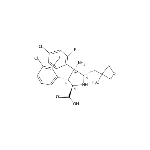 CC1(C[C@@H]2N[C@@H](C(=O)O)[C@H](c3cccc(Cl)c3F)[C@@]2(N)c2ccc(Cl)cc2F)COC1